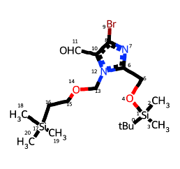 CC(C)(C)[Si](C)(C)OCc1nc(Br)c(C=O)n1COCC[Si](C)(C)C